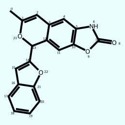 CC1=Cc2cc3[nH]c(=O)oc3cc2C(c2cc3ccccc3o2)O1